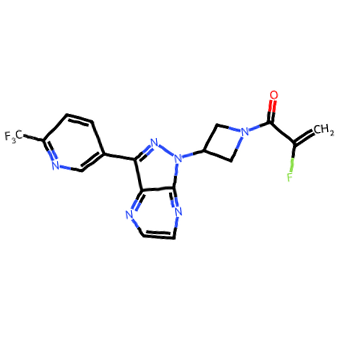 C=C(F)C(=O)N1CC(n2nc(-c3ccc(C(F)(F)F)nc3)c3nccnc32)C1